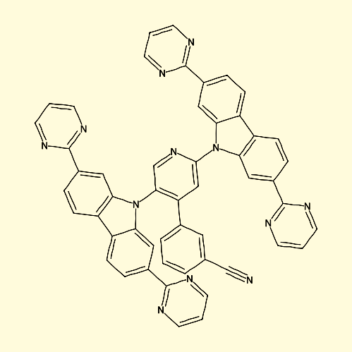 N#Cc1cccc(-c2cc(-n3c4cc(-c5ncccn5)ccc4c4ccc(-c5ncccn5)cc43)ncc2-n2c3cc(-c4ncccn4)ccc3c3ccc(-c4ncccn4)cc32)c1